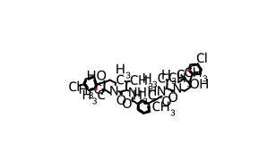 CC(C)C(NC(=O)c1cccc(C(C)(C)C(=O)NC(C(=O)N2CCC(O)(c3ccc(Cl)cc3)C(C)(C)C2)C(C)C)c1)C(=O)N1CCC(O)(c2ccc(Cl)cc2)C(C)(C)C1